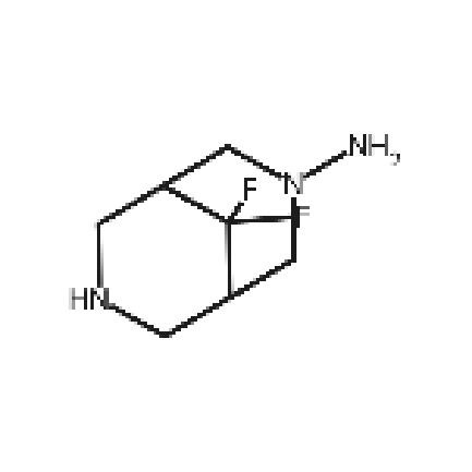 NN1CC2CNCC(C1)C2(F)F